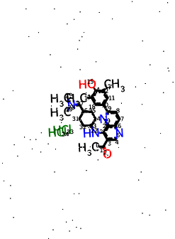 CC(=O)c1cnc2ccc(-c3cc(C)c(O)c(C)c3)nc2c1NC1CCC(CN(C)C)CC1.Cl.Cl